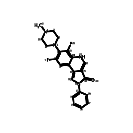 CN1CCN(c2c(F)cc3c4nn(-c5ccccc5)c(=O)c-4c[nH]c3c2F)CC1